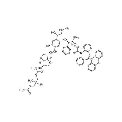 CC(C)NCC(O)c1ccc(O)c(O)c1.CCCC(C)(COC(N)=O)COC(N)=O.CN[C@@H](C)[C@H](O)c1ccccc1.NC(=O)N1c2ccccc2C=Cc2ccccc21.O[C@@H]1CO[C@H]2[C@@H]1OC[C@@H]2O.c1ccc2c(c1)Nc1ccccc1S2